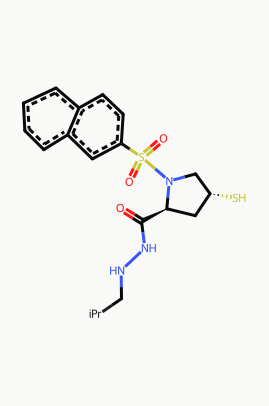 CC(C)CNNC(=O)[C@@H]1C[C@@H](S)CN1S(=O)(=O)c1ccc2ccccc2c1